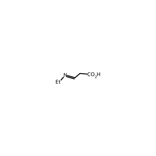 CCN=CCC(=O)O